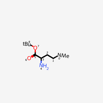 CNCCC(N)C(=O)OC(C)(C)C